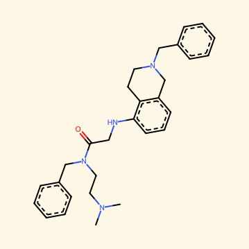 CN(C)CCN(Cc1ccccc1)C(=O)CNc1cccc2c1CCN(Cc1ccccc1)C2